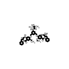 COc1cc2c(cc1OCc1cc(COc3cc4c(cc3OC)C(=O)N3c5ccccc5C[C@H]3C(O)N4)cc(NC(=O)C(C)(C)S)c1)NC[C@@H]1Cc3ccccc3N1C2=O